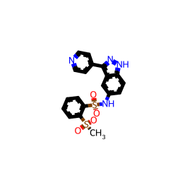 CS(=O)(=O)c1ccccc1S(=O)(=O)Nc1ccc2[nH]nc(-c3ccncc3)c2c1